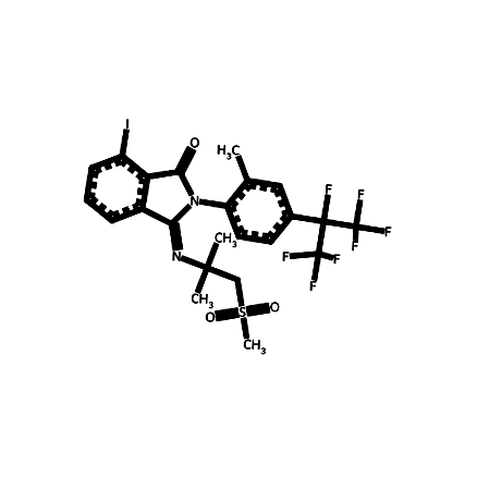 Cc1cc(C(F)(C(F)(F)F)C(F)(F)F)ccc1N1C(=O)c2c(I)cccc2C1=NC(C)(C)CS(C)(=O)=O